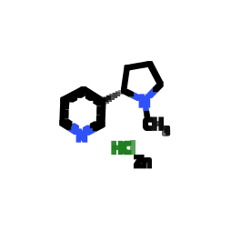 CN1CCC[C@H]1c1cccnc1.Cl.[Zn]